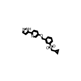 O=S(=O)(CC1CC1)c1cccc(COc2ccc(-c3ccn[nH]3)nc2)c1